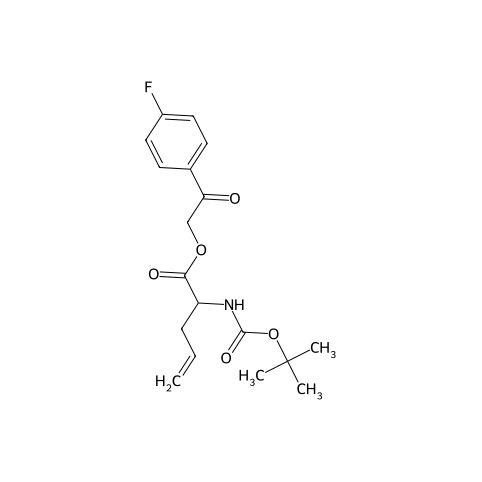 C=CCC(NC(=O)OC(C)(C)C)C(=O)OCC(=O)c1ccc(F)cc1